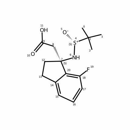 CC(C)(C)[S@@+]([O-])N[C@]1(CC(=O)O)CCc2cccc(F)c21